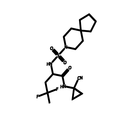 CC(F)(F)CC(NS(=O)(=O)N1CCC2(CCCC2)CC1)C(=O)NC1(C#N)CC1